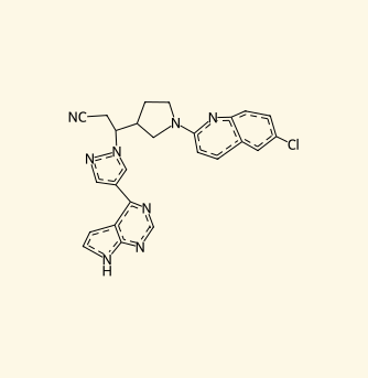 N#CCC(C1CCN(c2ccc3cc(Cl)ccc3n2)C1)n1cc(-c2ncnc3[nH]ccc23)cn1